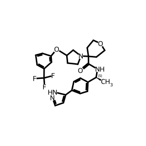 C[C@H](NC(=O)C1(N2CCC(Oc3cccc(C(F)(F)F)c3)C2)CCOCC1)c1ccc(-c2ccn[nH]2)cc1